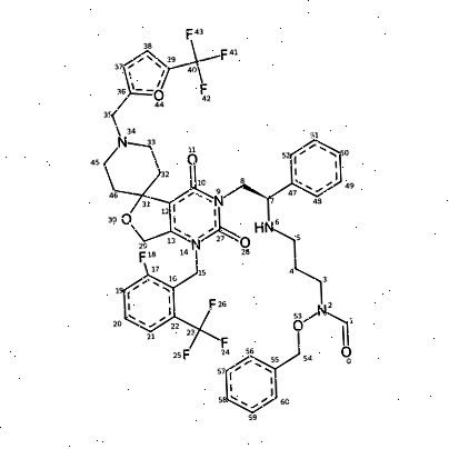 O=CN(CCCN[C@@H](Cn1c(=O)c2c(n(Cc3c(F)cccc3C(F)(F)F)c1=O)COC21CCN(Cc2ccc(C(F)(F)F)o2)CC1)c1ccccc1)OCc1ccccc1